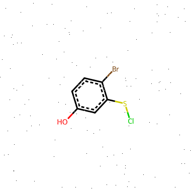 Oc1ccc(Br)c(SCl)c1